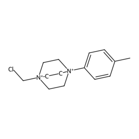 Cc1ccc([N+]23CC[N+](CCl)(CC2)CC3)cc1